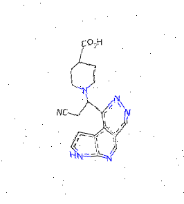 N#CCC(c1nncc2cnc3[nH]ccc3c12)N1CCC(C(=O)O)CC1